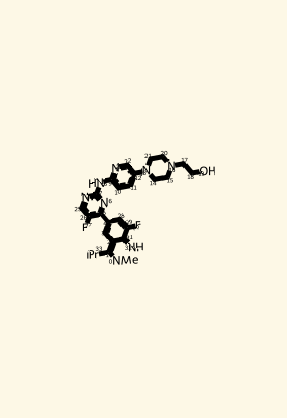 CN/C(=C1/C=C(c2nc(Nc3ccc(N4CCN(CCO)CC4)cn3)ncc2F)C=C(F)C1=N)C(C)C